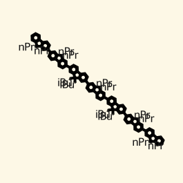 CCCC1(CCC)c2ccccc2-c2ccc(-c3ccc4c(c3)C(CCC)(CCC)c3cc(-c5ccc6c(c5)C(CC(C)CC)(CC(C)CC)c5cc(-c7ccc8c(c7)C(CCC)(CCC)c7cc(-c9ccc%10c(c9)C(CC(C)CC)(CC(C)CC)c9cc(-c%11ccc%12c(c%11)C(CCC)(CCC)c%11cc(-c%13ccc%14c(c%13)C(CCC)(CCC)c%13ccccc%13-%14)ccc%11-%12)ccc9-%10)ccc7-8)ccc5-6)ccc3-4)cc21